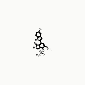 COc1cc(-c2cc3cc(O)ccc3[nH]2)c2c(c1OS(C)(=O)=O)CNC2=O